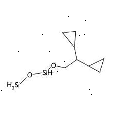 [SiH3]O[SiH]OCC(C1CC1)C1CC1